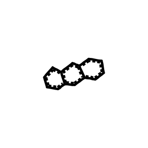 [c]1c2ccccc2cc2ccccc12